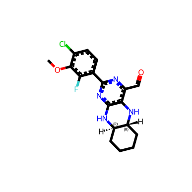 COc1c(Cl)ccc(-c2nc(C=O)c3c(n2)N[C@@H]2CCCC[C@H]2N3)c1F